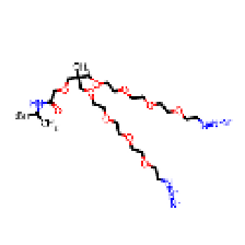 C[C@H](NC(=O)COCC(C)(COCCOCCOCCOCCN=[N+]=[N-])COCCOCCOCCOCCN=[N+]=[N-])C(C)(C)C